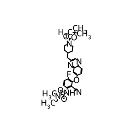 CCN(C)S(=O)(=O)Nc1ccc(F)c(Oc2ccc3ncc(CC4CCN(C(=O)OC(C)(C)C)CC4)nc3c2)c1C#N